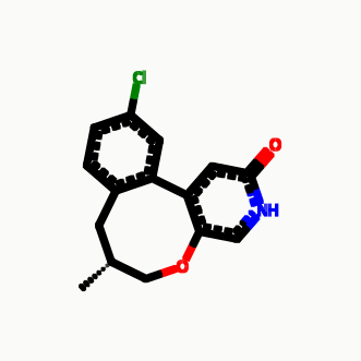 C[C@H]1COc2c[nH]c(=O)cc2-c2cc(Cl)ccc2C1